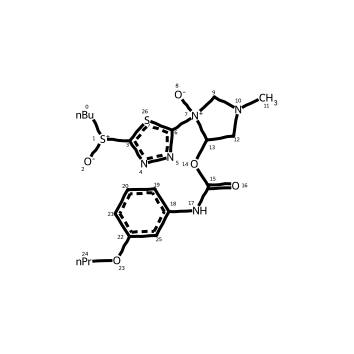 CCCC[S+]([O-])c1nnc([N+]2([O-])CN(C)CC2OC(=O)Nc2cccc(OCCC)c2)s1